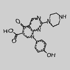 O=C(O)c1cn(-c2ccc(O)cc2)c2nc(N3CCNCC3)ncc2c1=O